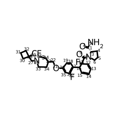 NC(=O)[C@@H]1CCCN1C(=O)C1(F)C=CC=CC1c1ccc(OCC2CCN(CC3(C(F)(F)F)CCC3)CC2)cc1F